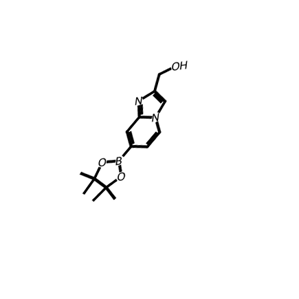 CC1(C)OB(c2ccn3cc(CO)nc3c2)OC1(C)C